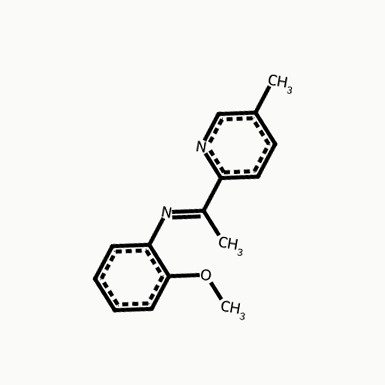 COc1ccccc1N=C(C)c1ccc(C)cn1